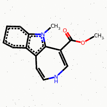 COC(=O)C1=CNC=Cc2c1n(C)c1ccccc21